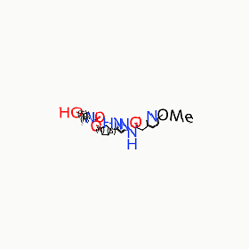 COc1ccc(CC(=O)Nc2cc([C@H]3CC[C@@H](OC(=O)N4C[C@H](O)[C@H]4C)C3)[nH]n2)cn1